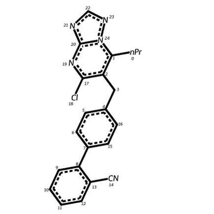 CCCc1c(Cc2ccc(-c3ccccc3C#N)cc2)c(Cl)nc2ncnn12